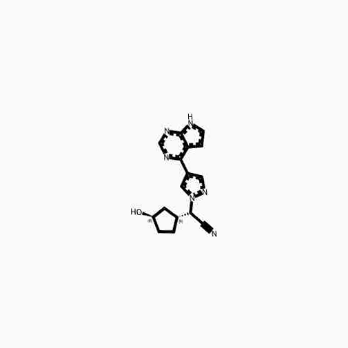 N#CC([C@@H]1CC[C@@H](O)C1)n1cc(-c2ncnc3[nH]ccc23)cn1